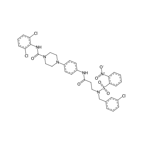 O=C(CCN(Cc1cccc(Cl)c1)S(=O)(=O)c1ccccc1[N+](=O)[O-])Nc1ccc(N2CCN(C(=O)Nc3c(Cl)cccc3Cl)CC2)cc1